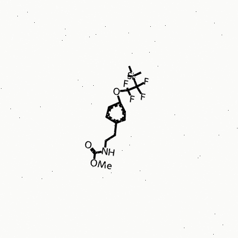 COC(=O)NCCc1ccc(OC(F)(F)C(F)(F)[Si](C)(C)C)cc1